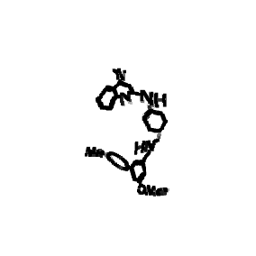 COc1cc(CNC[C@H]2CC[C@@H](Nc3cc(N(C)C)c4ccccc4n3)CC2)cc(OC)c1